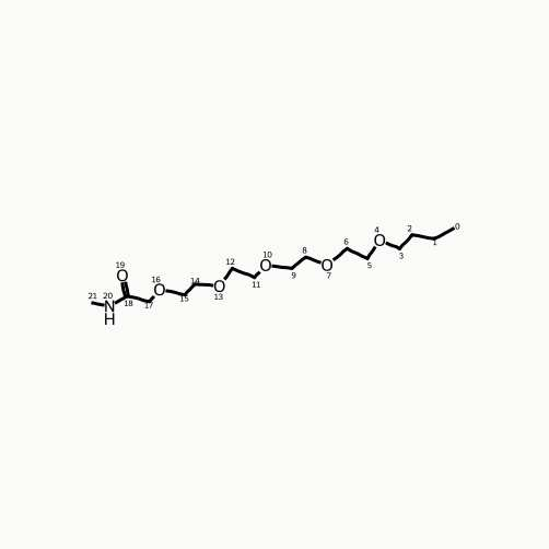 CCCCOCCOCCOCCOCCOCC(=O)NC